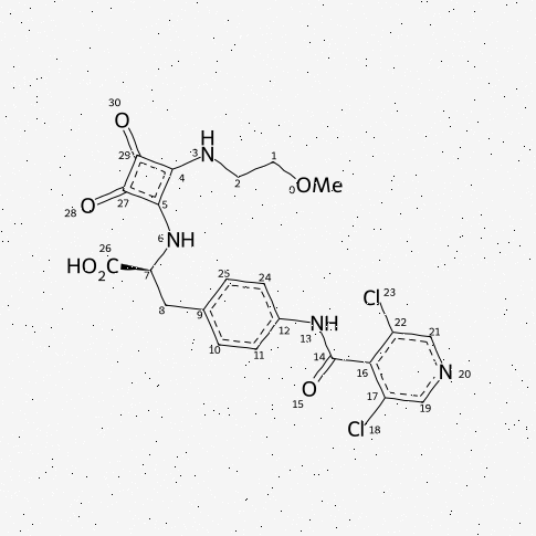 COCCNc1c(N[C@@H](Cc2ccc(NC(=O)c3c(Cl)cncc3Cl)cc2)C(=O)O)c(=O)c1=O